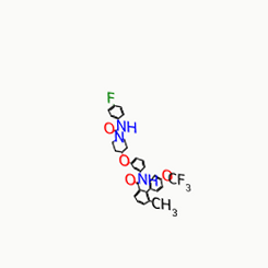 Cc1cccc(C(=O)Nc2cccc(OC3CCN(C(=O)Nc4ccc(F)cc4)CC3)c2)c1-c1ccc(OC(F)(F)F)cc1